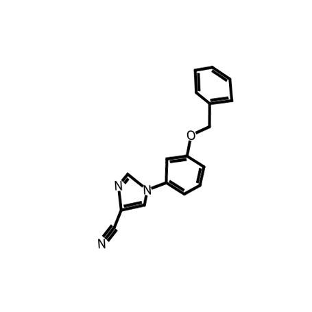 N#Cc1cn(-c2cccc(OCc3ccccc3)c2)cn1